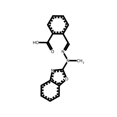 CN(N=Cc1ccccc1C(=O)O)c1nc2ccccc2o1